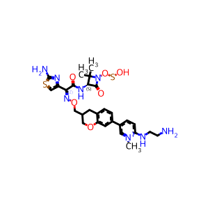 C[n+]1cc(-c2ccc3c(c2)OCC(CO/N=C(\C(=O)N[C@@H]2C(=O)N(OSO)C2(C)C)c2csc(N)n2)C3)ccc1NCCN